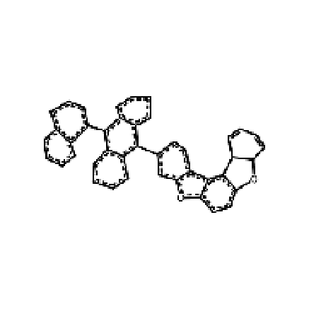 C1=CC2Oc3ccc4oc5cc(-c6c7ccccc7c(-c7cccc8ccccc78)c7ccccc67)ccc5c4c3C2C=C1